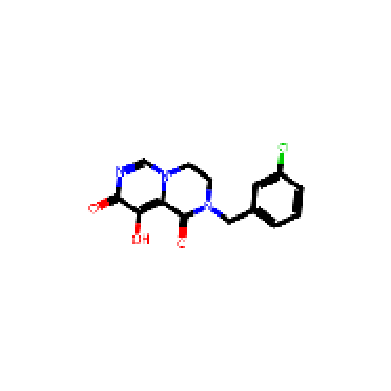 O=C1c2c(O)c(=O)ncn2CCN1Cc1cccc(Cl)c1